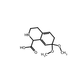 COC1(OC)C=C2C(=CC1)CCNC2C(=O)O